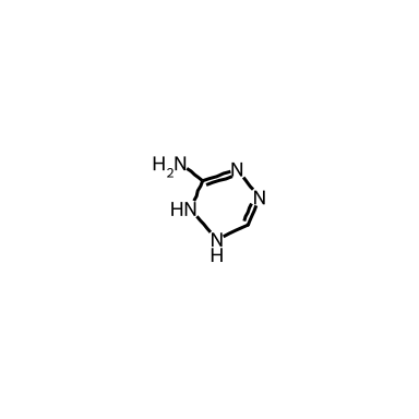 NC1=NN=CNN1